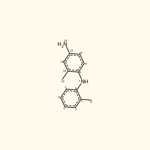 Cc1ccccc1Nc1ccc(N)cc1C